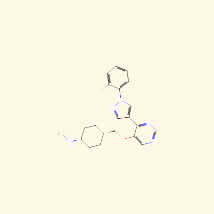 CC(C)N[C@H]1CC[C@@H](COc2cncnc2-c2cnn(-c3ccccc3F)c2)CC1